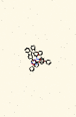 C1=CCC(c2nc(-c3ccccc3)nc(-c3ccc4c(c3)C3(c5ccccc5-4)c4ccccc4-c4ccc(N(c5ccc(-c6ccccc6)cc5-c5ccccc5)c5cccc6ccccc56)cc43)n2)C=C1